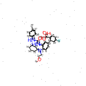 COCCN(c1ccc(-c2cc(F)ccc2C(=O)O)cc1NC(=O)Nc1ccc(C)cc1)C1CCCCC1